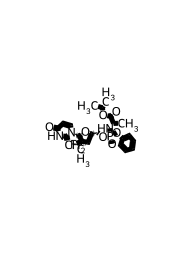 C=C1NC(=O)C=CN1[C@@H]1O[C@H](COP(=O)(NC(C)C(=O)OC(C)C)Oc2ccccc2)C[C@@]1(C)F